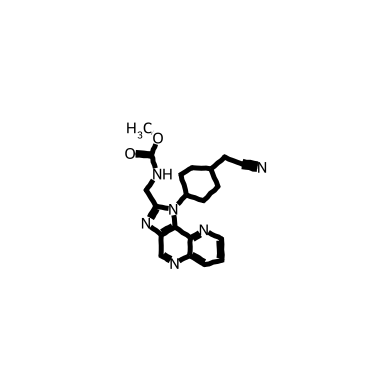 COC(=O)NCc1nc2cnc3cccnc3c2n1C1CCC(CC#N)CC1